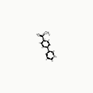 CC(=O)c1ccc(-c2cc[c]nc2)cc1